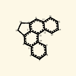 [c]1c2c3c(cc4ccccc4c3c3ccccc13)CC2